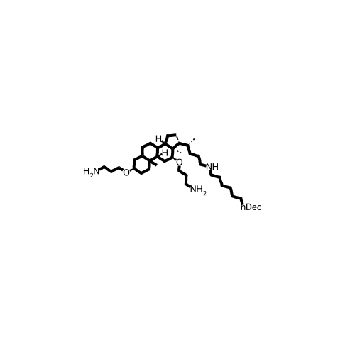 CCCCCCCCCCCCCCCCNCCC[C@@H](C)[C@H]1CC[C@H]2C3CCC4C[C@H](OCCCN)CCC4(C)[C@H]3C[C@H](OCCCN)[C@]12C